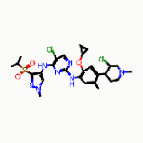 Cc1cc(Nc2ncc(Cl)c(Nc3cn(C)nc3S(=O)(=O)C(C)C)n2)c(OC2CC2)cc1C1CCN(C)CC1Cl